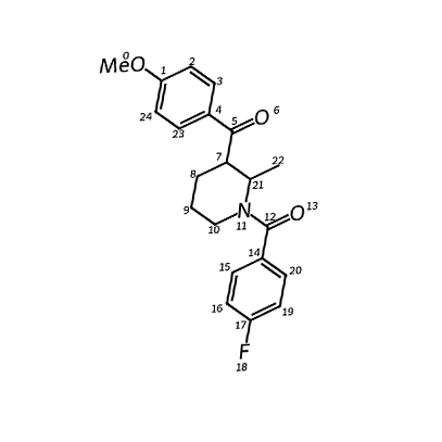 COc1ccc(C(=O)C2CCCN(C(=O)c3ccc(F)cc3)C2C)cc1